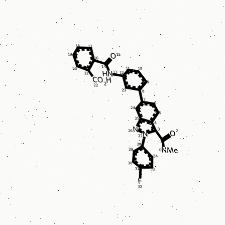 CNC(=O)c1c2ccc(-c3cccc(NC(=O)c4ccccc4C(=O)O)c3)cc2nn1-c1ccc(F)cc1